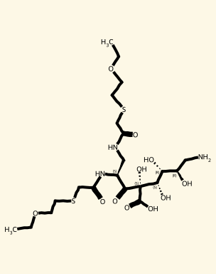 CCOCCSCC(=O)NC[C@H](NC(=O)CSCCOCC)C(=O)[C@](O)(C(=O)O)[C@@H](O)[C@H](O)[C@H](O)CN